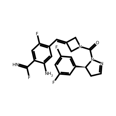 N=C(F)c1cc(F)c(C=C2CN(C(=O)N3N=CC[C@H]3c3cc(F)cc(F)c3)C2)cc1N